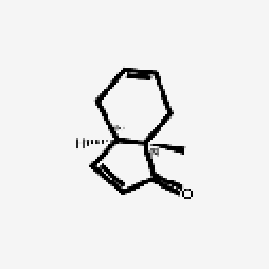 C[C@]12CC=CC[C@@H]1C=CC2=O